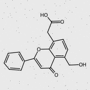 O=C(O)Cc1ccc(CO)c2c(=O)cc(-c3ccccc3)oc12